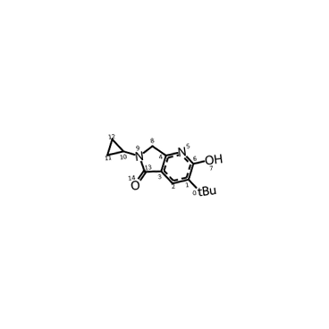 CC(C)(C)c1cc2c(nc1O)CN(C1CC1)C2=O